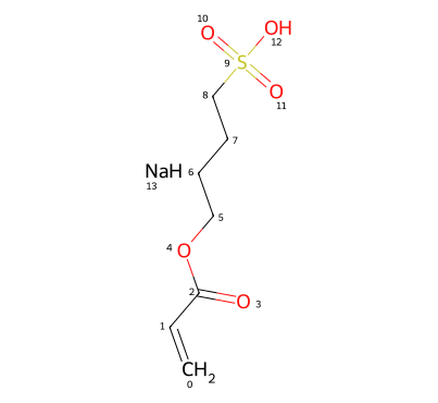 C=CC(=O)OCCCCS(=O)(=O)O.[NaH]